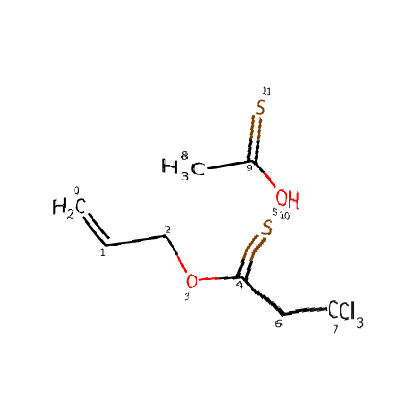 C=CCOC(=S)CC(Cl)(Cl)Cl.CC(O)=S